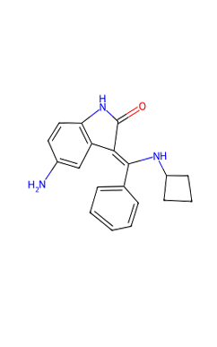 Nc1ccc2c(c1)/C(=C(/NC1CCC1)c1ccccc1)C(=O)N2